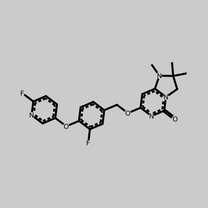 CN1c2cc(OCc3ccc(Oc4ccc(F)nc4)c(F)c3)nc(=O)n2CC1(C)C